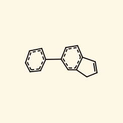 C1=Cc2ccc(-c3ccccc3)cc2C1